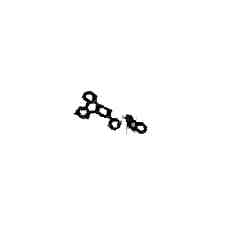 c1cc(-c2ccc3c4ccccc4c4ccccc4c3c2)cc(-n2ccn3c4ccccc4nc23)c1